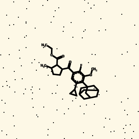 CCOC(=O)C1C(C)CCC1C(=O)c1cc(C2CC2)c(C23CC4CC(CC(C4)C2)C3)c(OC)c1F